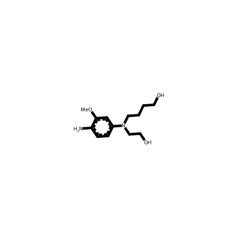 COc1cc(N(CCO)CCCCO)ccc1N